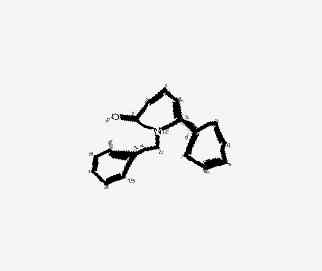 O=c1cccc(-c2ccccc2)n1Cc1ccccc1